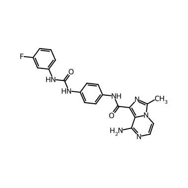 Cc1nc(C(=O)Nc2ccc(NC(=O)Nc3cccc(F)c3)cc2)c2c(N)nccn12